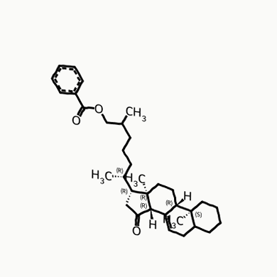 CC(CCC[C@@H](C)[C@H]1CC(=O)[C@H]2C3=CCC4CCCC[C@]4(C)[C@H]3CC[C@@]21C)COC(=O)c1ccccc1